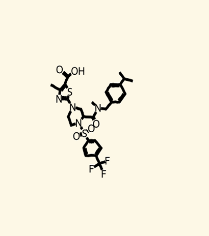 Cc1nc(N2CCN(S(=O)(=O)c3ccc(C(F)(F)F)cc3)C(C(=O)N(C)Cc3ccc(C(C)C)cc3)C2)sc1C(=O)O